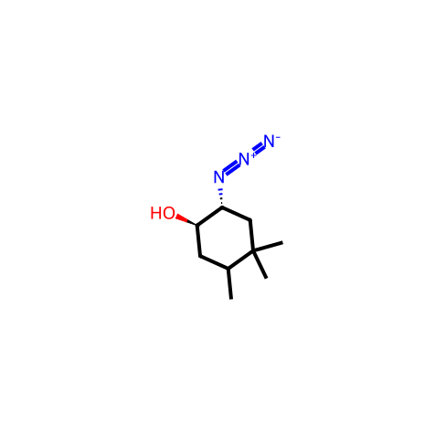 CC1C[C@@H](O)[C@H](N=[N+]=[N-])CC1(C)C